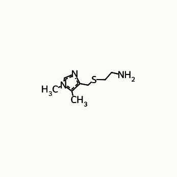 Cc1c(CSCCN)ncn1C